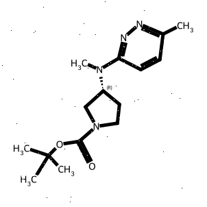 Cc1ccc(N(C)[C@@H]2CCN(C(=O)OC(C)(C)C)C2)nn1